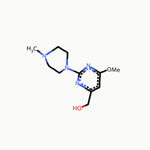 COc1cc(CO)nc(N2CCN(C)CC2)n1